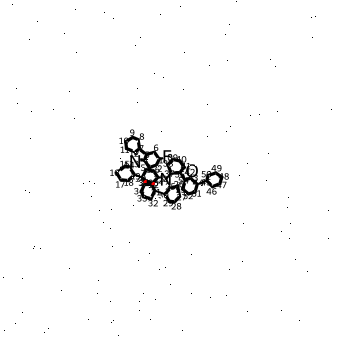 Fc1ccc2c(c1)c1ccccc1n2-c1ccccc1-c1ccc(N(c2ccccc2-c2ccccc2)c2cccc3oc4c(-c5ccccc5)cccc4c23)cc1